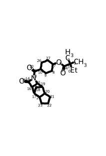 CCC(C)(C)C(=O)OC1CCC(C(=O)N2C(=O)C3C4CC(C5CCCC54)C32)CC1